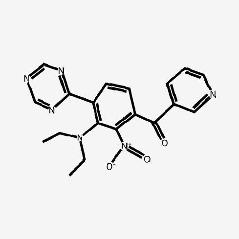 CCN(CC)c1c(-c2ncncn2)ccc(C(=O)c2cccnc2)c1[N+](=O)[O-]